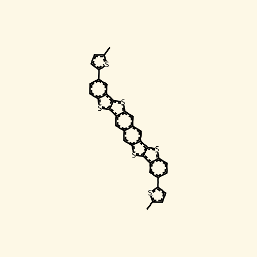 Cc1ccc(-c2ccc3sc4c5cc6cc7sc8c9cc(-c%10ccc(C)s%10)ccc9sc8c7cc6cc5sc4c3c2)s1